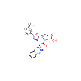 C=C/C=C(\C=C/C)c1nnc([C@@H]2CCCN2C(=O)C[C@H](N)Cc2ccccc2F)o1.O=CO